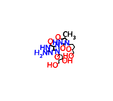 Cc1cn([C@H]2CC[C@@H](CO)O2)c(=O)[nH]c1=O.Nc1nc2c(ncn2[C@H]2C[C@H](O)[C@@H](CO)O2)c(=O)[nH]1